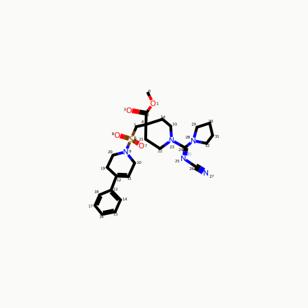 COC(=O)C1(CS(=O)(=O)N2CC=C(c3ccccc3)CC2)CCN(/C(=N/C#N)N2CCCC2)CC1